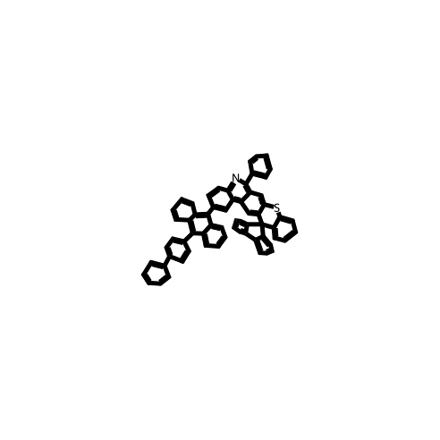 c1ccc(-c2ccc(-c3c4ccccc4c(-c4ccc5nc(-c6ccccc6)c6cc7c(cc6c5c4)C4(c5ccccc5S7)c5ccccc5-c5ccccc54)c4ccccc34)cc2)cc1